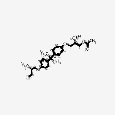 CC(=O)OC[C@H](O)COc1ccc(C(C)(C)c2ccc(OC[C@H](C)CCl)cc2)cc1